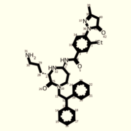 CCc1cc(C(=O)N[C@H]2CCN(CC(c3ccccc3)c3ccccc3)C(=O)[C@H](CCCN)N2)ccc1N1N=C(C)CC1=O